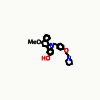 COC1Cc2c(n(Cc3ccc(OCCN4CCCCC4)cc3)c3ccc(O)cc23)-c2ccccc21